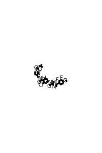 COc1ccc(-c2cnc(C(=O)Nc3ccc(C(=O)NCc4ccn(C(=O)OC(C)(C)C)n4)c(Cl)c3)n2C)c(F)c1F